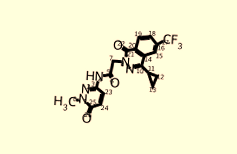 Cn1nc(NC(=O)Cn2nc(C3CC3)c3cc(C(F)(F)F)ccc3c2=O)ccc1=O